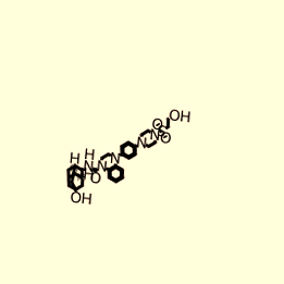 O=C(NC1[C@@H]2CC3C[C@H]1CC(O)(C3)C2)N1CCN(c2ccc(N3CCN(S(=O)(=O)CCO)CC3)cc2)c2ccccc21